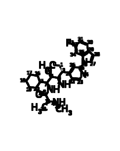 CC[C@@H](C(=N)C(=O)[C@@H](NC(=O)[C@H](C)NC)C1CCCCC1)c1ccnc(-n2ccc3ccc(F)cc32)c1